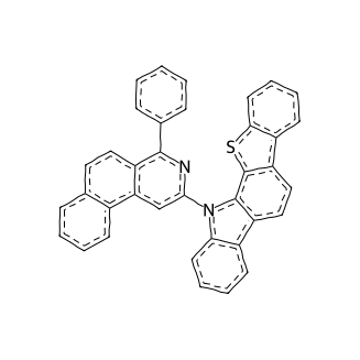 c1ccc(-c2nc(-n3c4ccccc4c4ccc5c6ccccc6sc5c43)cc3c2ccc2ccccc23)cc1